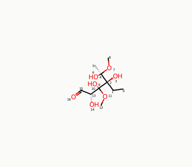 CC[C@@](O)([C@@](C)(O)OC)[C@@](O)(OC)[C@H](O)C=O